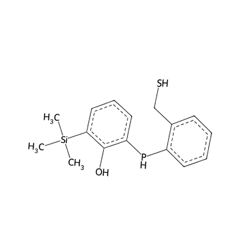 C[Si](C)(C)c1cccc(Pc2ccccc2CS)c1O